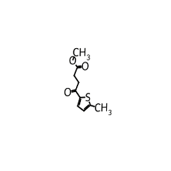 COC(=O)CCC(=O)c1ccc(C)s1